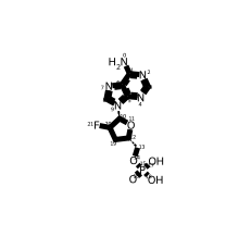 Nc1ncnc2c1ncn2[C@@H]1O[C@H](COP(=O)(O)O)CC1F